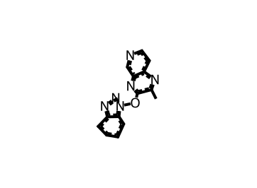 Cc1nc2ccncc2nc1On1nnc2ccccc21